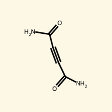 NC(=O)C#CC(N)=O